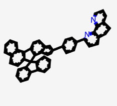 c1ccc2c(c1)-c1ccccc1C21c2ccc3ccccc3c2-c2ccc3cc(-c4ccc(-c5ccc6ccc7cccnc7c6n5)cc4)ccc3c21